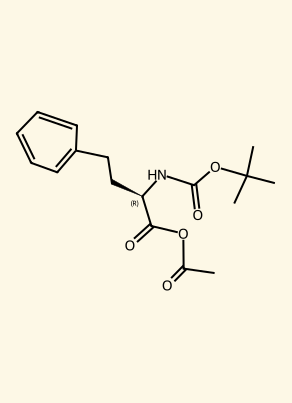 CC(=O)OC(=O)[C@@H](CCc1ccccc1)NC(=O)OC(C)(C)C